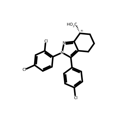 O=C(O)[C@@H]1CCCc2c1nn(-c1ccc(Cl)cc1Cl)c2-c1ccc(Cl)cc1